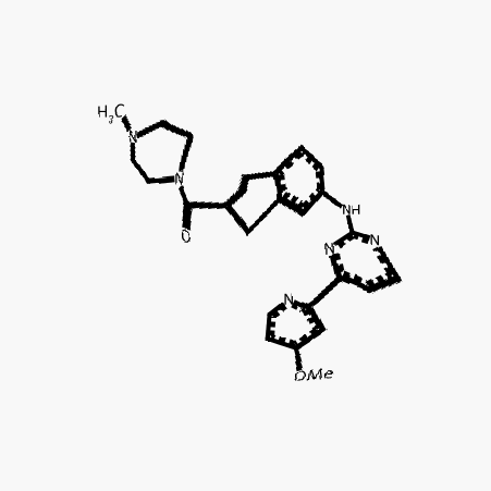 COc1ccnc(-c2ccnc(Nc3ccc4c(c3)CC(C(=O)N3CCN(C)CC3)C4)n2)c1